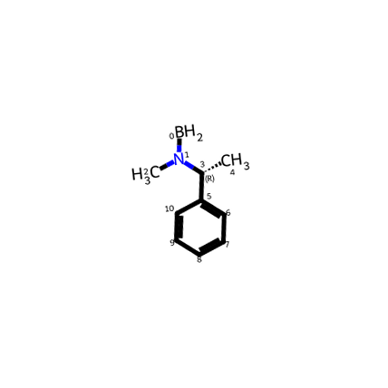 BN(C)[C@H](C)c1ccccc1